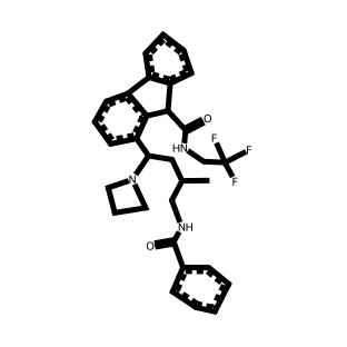 CC(CNC(=O)c1ccccc1)CC(c1cccc2c1C(C(=O)NCC(F)(F)F)c1ccccc1-2)N1CCC1